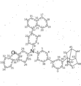 c1cc(-c2ccc(N(c3ccc(-c4cccc5ccccc45)cc3)c3ccc4c(c3)oc3ccccc34)cc2)cc(C23CC4CC(CC(C4)C2)C3)c1